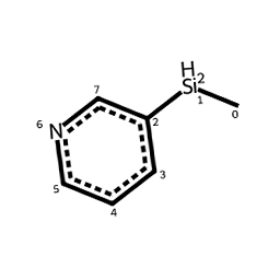 C[SiH2]c1cccnc1